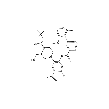 C=C(C)c1cc(N2CCN(C(=O)OC(C)(C)C)[C@H](CO)C2)c(NC(=O)c2ccnc(-c3c(F)cccc3OC)n2)cc1F